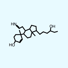 CCC(O)CCCC1CCC2C(CC=N)C(C3(C)C=CC(O)CC3)CCC12C